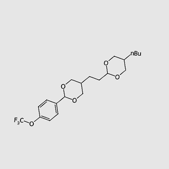 CCCCC1COC(CCC2COC(c3ccc(OC(F)(F)F)cc3)OC2)OC1